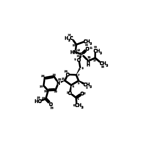 CC(=O)O[C@@H]1[C@H](C)[C@@H](COP(=O)(NC(C)C)NC(C)C)O[C@H]1N1C=CCC(C(=O)O)=C1